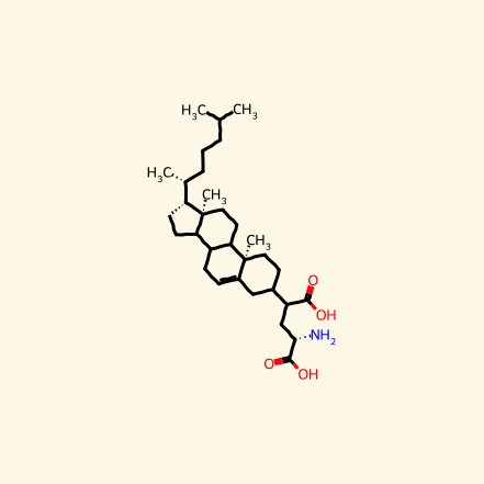 CC(C)CCC[C@@H](C)[C@H]1CCC2C3CC=C4CC(C(C[C@H](N)C(=O)O)C(=O)O)CC[C@]4(C)C3CC[C@@]21C